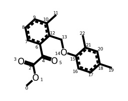 COC(=O)C(=O)c1cccc(C)c1COc1ccc(C)cc1C